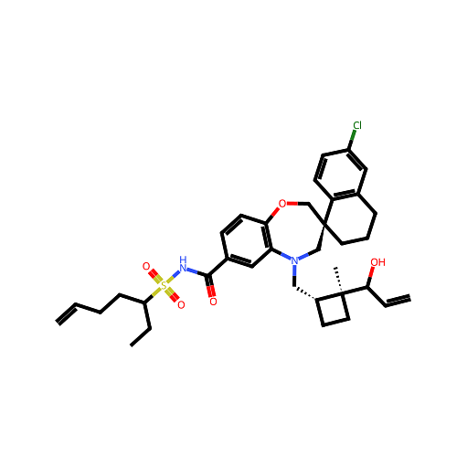 C=CCCC(CC)S(=O)(=O)NC(=O)c1ccc2c(c1)N(C[C@H]1CC[C@]1(C)C(O)C=C)C[C@@]1(CCCc3cc(Cl)ccc31)CO2